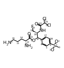 CS(=O)(=O)c1ccc([C@@H](OC(=O)[C@H](N)CCCN)[C@@H](CF)NC(=O)C(Cl)Cl)cc1